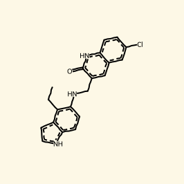 CCc1c(NCc2cc3cc(Cl)ccc3[nH]c2=O)ccc2[nH]ccc12